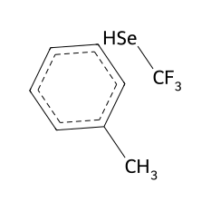 Cc1ccccc1.FC(F)(F)[SeH]